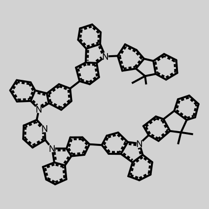 CC1(C)c2ccccc2-c2ccc(-n3c4ccccc4c4cc(-c5ccc6c(c5)c5ccccc5n6-c5cccc(-n6c7ccccc7c7cc(-c8ccc9c(c8)c8ccccc8n9-c8ccc9c(c8)C(C)(C)c8ccccc8-9)ccc76)n5)ccc43)cc21